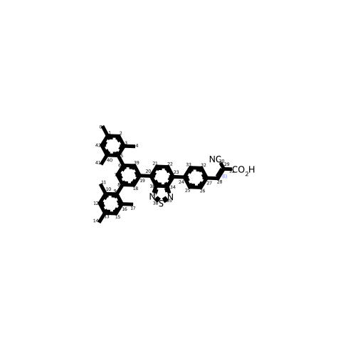 Cc1cc(C)c(-c2cc(-c3c(C)cc(C)cc3C)cc(-c3ccc(-c4ccc(/C=C(\C#N)C(=O)O)cc4)c4nsnc34)c2)c(C)c1